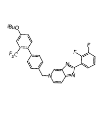 CC(C)COc1ccc(-c2ccc(Cn3ccc4nc(-c5cccc(F)c5F)nc-4c3)cc2)c(C(F)(F)F)c1